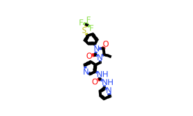 CC1C(=O)N(c2ccc(SC(F)(F)F)cc2)C(=O)N1Cc1ccncc1NC(=O)Nc1ccccn1